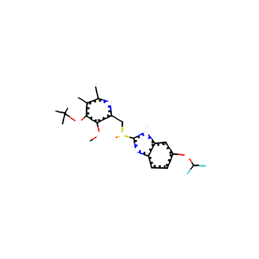 [2H]c1nc(C[S+]([O-])c2nc3ccc(OC(F)F)cc3[nH]2)c(OC)c(OC([2H])([2H])[2H])c1[2H]